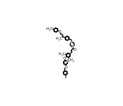 C/C(=C\COc1ccc(C)cc1)c1ccc(CN2CCN(C(=O)/C=C/c3cc(C)c(Oc4ccc(OCc5ccc(F)cc5)cn4)c(C)c3)CC2)cc1